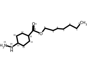 CCCCCCCOC(=O)C1CCC(NN)CC1